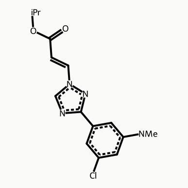 CNc1cc(Cl)cc(-c2ncn(/C=C/C(=O)OC(C)C)n2)c1